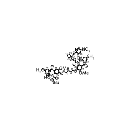 C=C1C[C@H]2[C@H](O)N(C(=O)OCC3(SSc4ccc([N+](=O)[O-])cn4)CCC3)c3cc(OCCCCCOc4cc5c(cc4OC)C(=O)N4CC(=C)C[C@H]4[C@H](O)N5C(=O)OC(C)(C)C)c(OC)cc3C(=O)N2C1